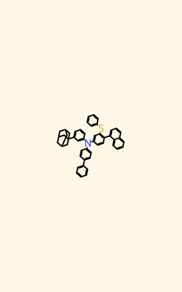 c1ccc(Sc2cc(N(c3ccc(-c4ccccc4)cc3)c3cccc(C45CC6CC(CC(C6)C4)C5)c3)ccc2-c2cccc3ccccc23)cc1